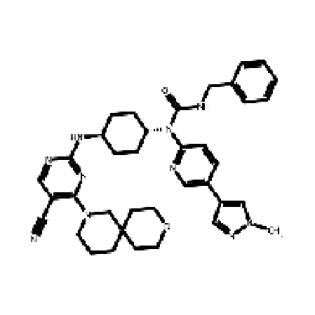 Cn1cc(-c2ccc(N(C(=O)NCc3ccccc3)[C@H]3CC[C@H](Nc4ncc(C#N)c(N5CCCC6(CCOCC6)C5)n4)CC3)nc2)cn1